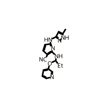 CCC(Nc1nc(Nc2cc(C)[nH]n2)ccc1C#N)Oc1cccnc1